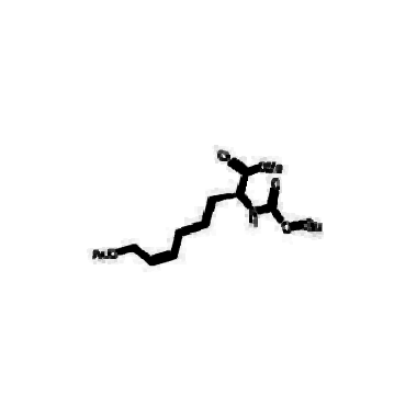 COC(=O)[C@H](CCC/C=C\COC(C)=O)NC(=O)OC(C)(C)C